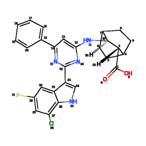 O=C(O)[C@H]1C2CCC(CC2)[C@@H]1Nc1cc(-c2ccccc2)nc(-c2c[nH]c3c(Cl)cc(F)cc23)n1